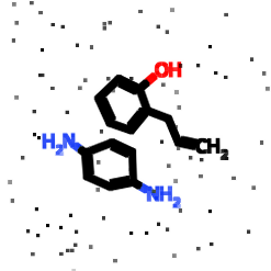 C=CCc1ccccc1O.Nc1ccc(N)cc1